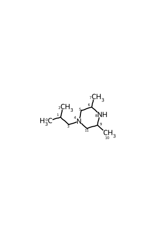 CC(C)CN1CC(C)NC(C)C1